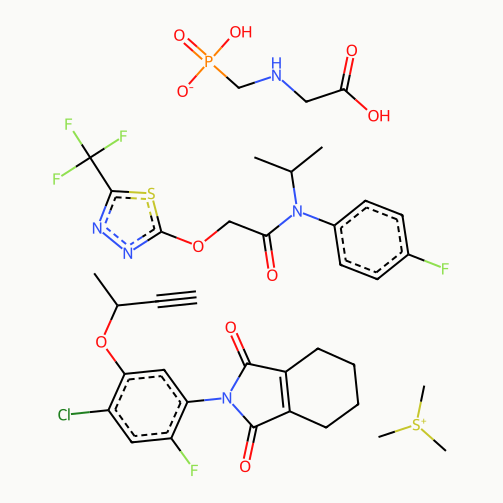 C#CC(C)Oc1cc(N2C(=O)C3=C(CCCC3)C2=O)c(F)cc1Cl.CC(C)N(C(=O)COc1nnc(C(F)(F)F)s1)c1ccc(F)cc1.C[S+](C)C.O=C(O)CNCP(=O)([O-])O